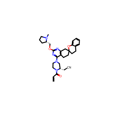 C=CC(=O)N1CCN(c2nc(OC[C@@H]3CCCN3C)nc3c2CCC2(CCc4ccccc4O2)C3)C[C@@H]1CC#N